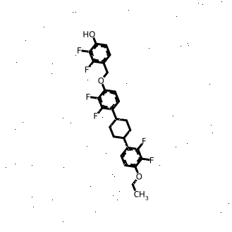 CCOc1ccc(C2CCC(c3ccc(OCc4ccc(O)c(F)c4F)c(F)c3F)CC2)c(F)c1F